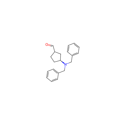 O=CC1CC[C@H](N(Cc2ccccc2)Cc2ccccc2)C1